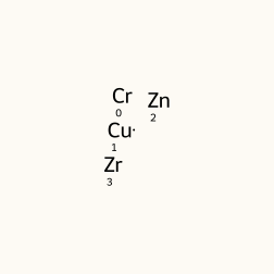 [Cr].[Cu].[Zn].[Zr]